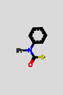 CC(C)N(C(=O)[S])c1ccccc1